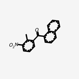 Cc1c(C(=O)c2cccc3ccccc23)cccc1[N+](=O)[O-]